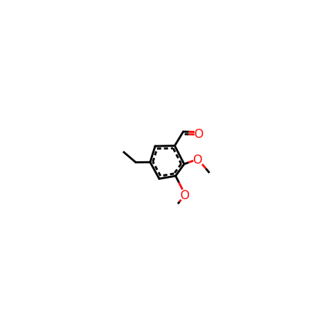 CCc1cc(C=O)c(OC)c(OC)c1